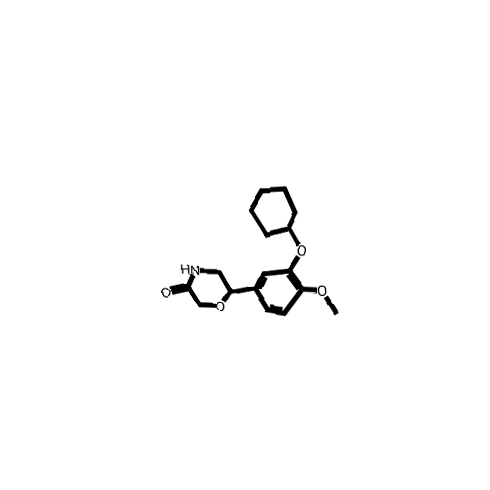 COc1ccc(C2CNC(=O)CO2)cc1OC1CCCCC1